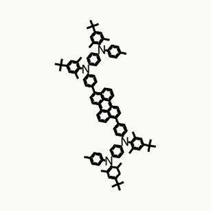 CC1=C(N(c2ccc(C)cc2)c2ccc(N(c3ccc(-c4ccc5c6cccc7c(-c8ccc(N(c9ccc(N(c%10ccc(C)cc%10)c%10c(C)cc(C(C)(C)C)cc%10C)cc9)c9c(C)cc(C(C)(C)C)cc9C)cc8)ccc(c8cccc4c85)c76)cc3)c3c(C)cc(C(C)(C)C)cc3C)cc2)C(C)CC(C(C)(C)C)=C1